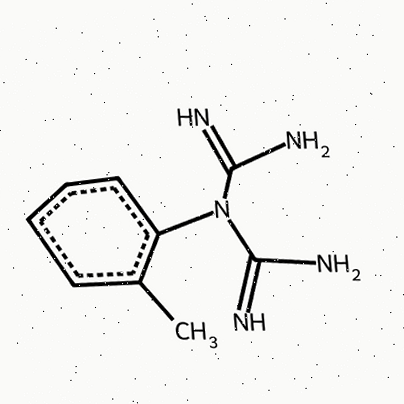 Cc1ccccc1N(C(=N)N)C(=N)N